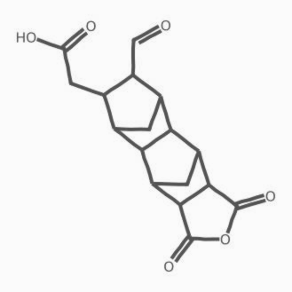 O=CC1C(CC(=O)O)C2CC1C1C3CC(C4C(=O)OC(=O)C34)C21